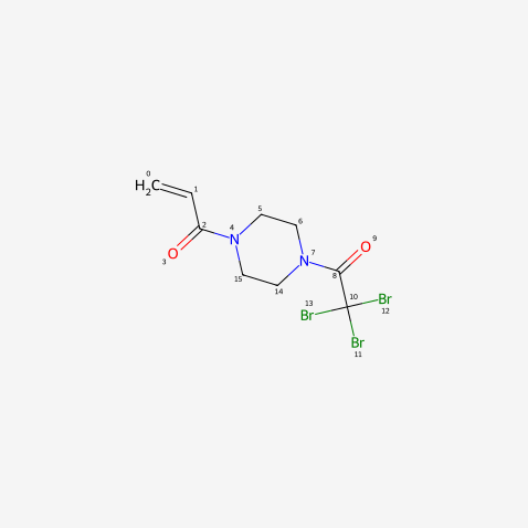 C=CC(=O)N1CCN(C(=O)C(Br)(Br)Br)CC1